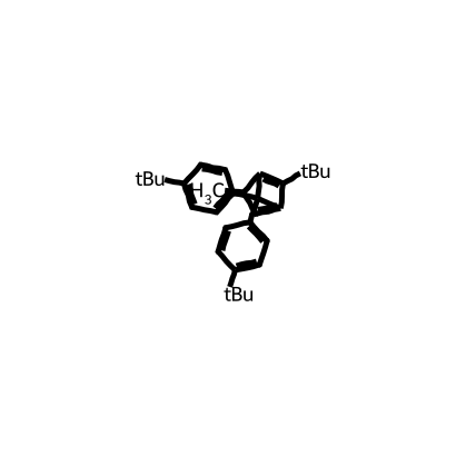 CC1[C]=C2C(C(C)(C)C)=C1C2(c1ccc(C(C)(C)C)cc1)c1ccc(C(C)(C)C)cc1